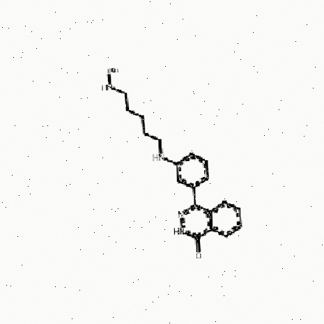 CCC(C)NCCCCCNc1cccc(-c2n[nH]c(=O)c3ccccc23)c1